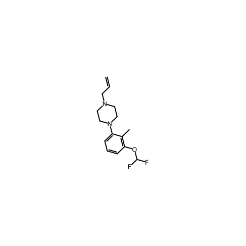 C=CCN1CCN(c2cccc(OC(F)F)c2C)CC1